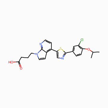 CC(C)Oc1ccc(-c2ncc(-c3ccnc4c3ccn4CCCC(=O)O)s2)cc1Cl